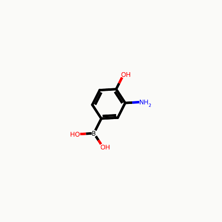 Nc1cc(B(O)O)ccc1O